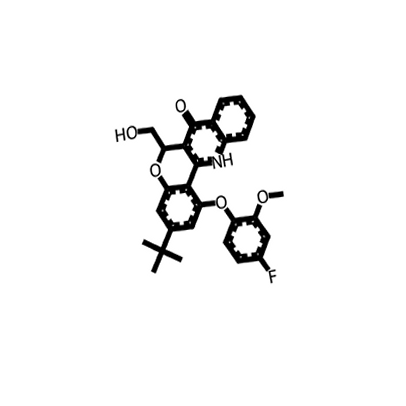 COc1cc(F)ccc1Oc1cc(C(C)(C)C)cc2c1-c1[nH]c3ccccc3c(=O)c1C(CO)O2